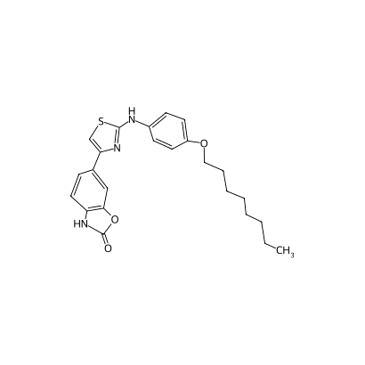 CCCCCCCCOc1ccc(Nc2nc(-c3ccc4[nH]c(=O)oc4c3)cs2)cc1